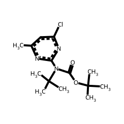 Cc1cc(Cl)nc(N(C(=O)OC(C)(C)C)C(C)(C)C)n1